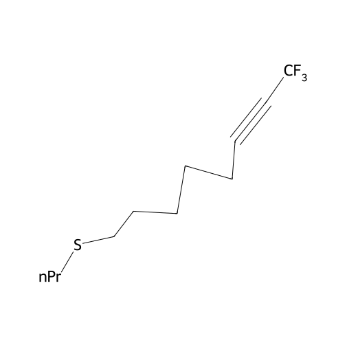 [CH2]CCSCCCCCC#CC(F)(F)F